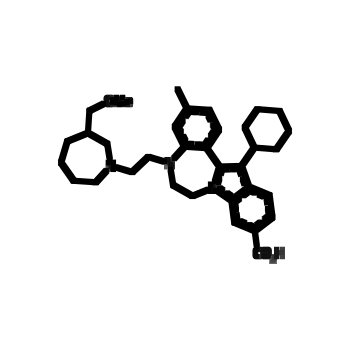 COCC1CCCCN(CCN2CCn3c(c(C4CCCCC4)c4ccc(C(=O)O)cc43)-c3ccc(C)cc32)C1